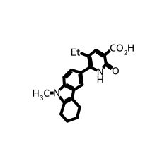 CCc1cc(C(=O)O)c(=O)[nH]c1-c1ccc2c(c1)c1c(n2C)CCCC1